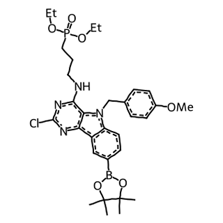 CCOP(=O)(CCCNc1nc(Cl)nc2c3cc(B4OC(C)(C)C(C)(C)O4)ccc3n(Cc3ccc(OC)cc3)c12)OCC